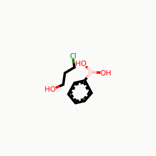 OB(O)c1ccccc1.OCCCCl